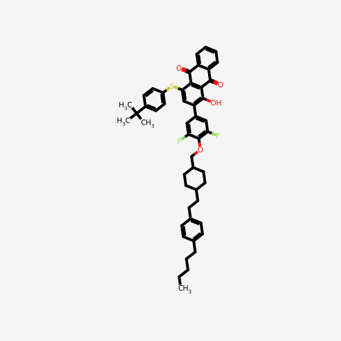 CCCCCc1ccc(CCC2CCC(COc3c(F)cc(-c4cc(Sc5ccc(C(C)(C)C)cc5)c5c(c4O)C(=O)c4ccccc4C5=O)cc3F)CC2)cc1